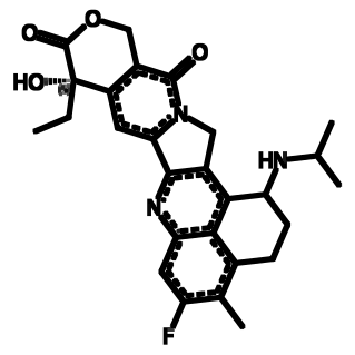 CC[C@@]1(O)C(=O)OCc2c1cc1n(c2=O)Cc2c-1nc1cc(F)c(C)c3c1c2C(NC(C)C)CC3